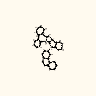 c1ccc2c(c1)ccc1ccc(-n3c4ccccc4c4nc5c6ccccc6c6ccccc6n5c43)cc12